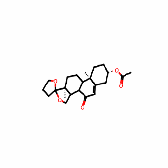 CC(=O)O[C@H]1CC[C@@]2(C)C(=CC(=O)C3C2CC[C@@]2(C)C3COC23CCCO3)C1